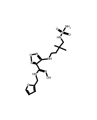 CC(C)(CCNc1nonc1/C(=N/O)NCc1ccco1)CNS(N)(=O)=O